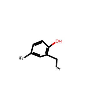 CC(C)Cc1cc(C(C)C)ccc1O